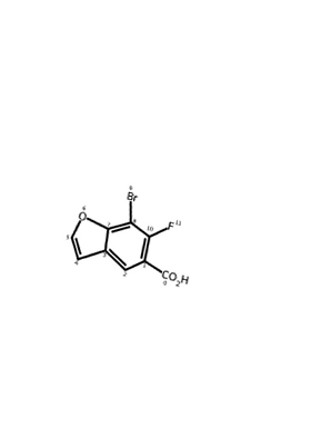 O=C(O)c1cc2ccoc2c(Br)c1F